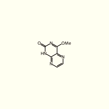 COc1nc(=O)[nH]c2nccnc12